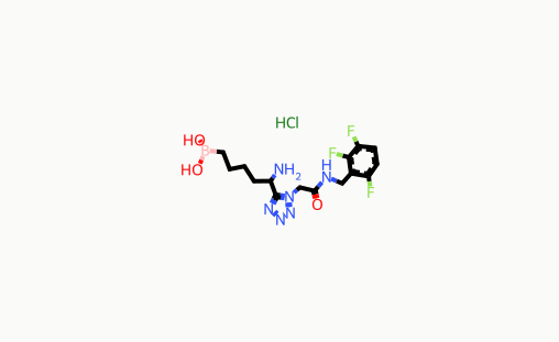 Cl.NC(CCCCB(O)O)c1nnnn1CC(=O)NCc1c(F)ccc(F)c1F